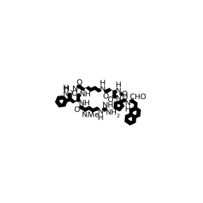 CN[C@@H](CCCNC(=N)N)C(=O)N[C@@H](Cc1c[nH]c2ccccc12)C(=O)N[C@@H](CCCCNC(=O)C[C@@H]1NC(=O)N(C2(C(=O)N[C@@H](C=O)Cc3ccc4ccccc4c3)CCCC2)C1=O)C(N)=O